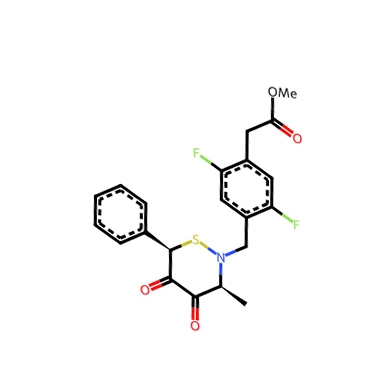 COC(=O)Cc1cc(F)c(CN2S[C@H](c3ccccc3)C(=O)C(=O)[C@@H]2C)cc1F